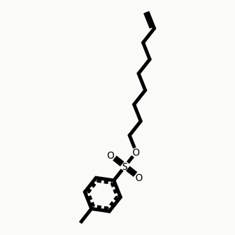 C=CCCCCCCCOS(=O)(=O)c1ccc(C)cc1